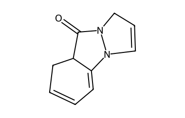 O=C1C2CC=CC=C2N2C=CCN12